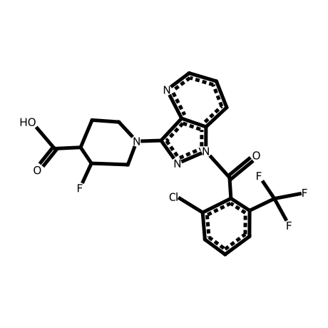 O=C(O)C1CCN(c2nn(C(=O)c3c(Cl)cccc3C(F)(F)F)c3cccnc23)CC1F